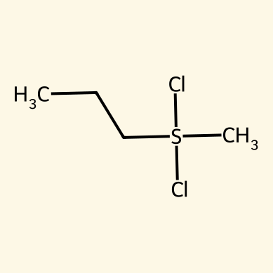 CCCS(C)(Cl)Cl